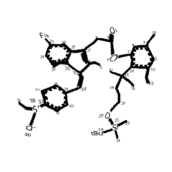 CC1=C(CC(=O)Oc2cc(C)cc(C)c2C(C)(C)CCO[Si](C)(C)C(C)(C)C)c2cc(F)ccc2C1=Cc1ccc([S+](C)[O-])cc1